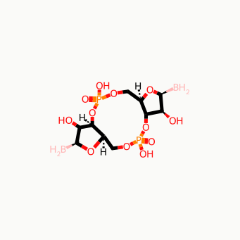 B[C@@H]1O[C@@H]2COP(=O)(O)OC3[C@@H](COP(=O)(O)O[C@@H]2C1O)O[C@@H](B)[C@H]3O